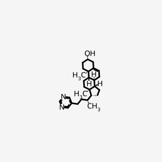 C[C@H](CCc1cncnc1)[C@H]1CC[C@H]2[C@@H]3CC=C4C[C@@H](O)CC[C@]4(C)[C@H]3CC[C@]12C